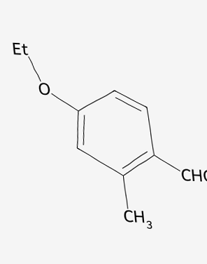 [CH2]COc1ccc(C=O)c(C)c1